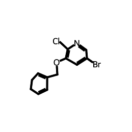 Clc1ncc(Br)cc1OCC1=CCCC=C1